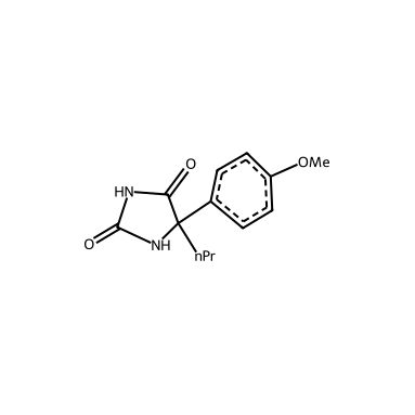 CCCC1(c2ccc(OC)cc2)NC(=O)NC1=O